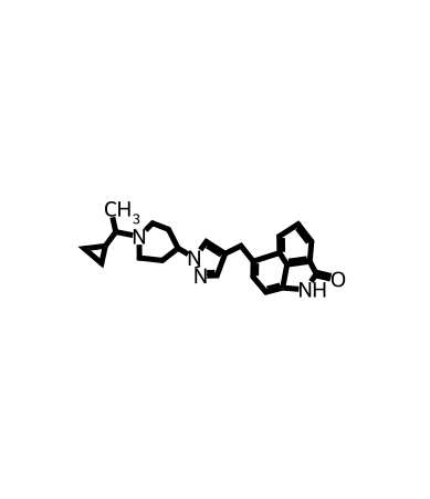 CC(C1CC1)N1CCC(n2cc(Cc3ccc4c5c(cccc35)C(=O)N4)cn2)CC1